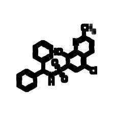 Cc1ccc2c(Cl)cc(S(=O)(=O)NC(c3ccccc3)c3ccccc3)c(O)c2n1